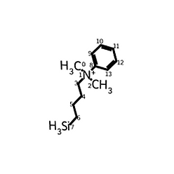 C[N+](C)(CCCC[SiH3])c1ccccc1